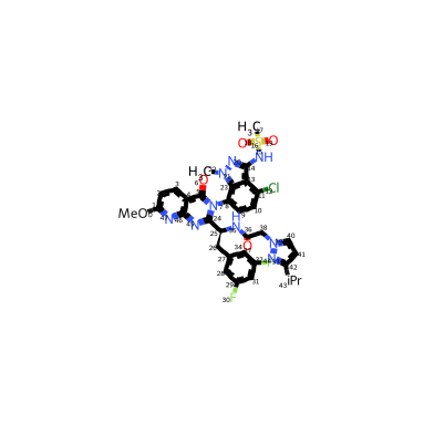 COc1ccc2c(=O)n(-c3ccc(Cl)c4c(NS(C)(=O)=O)nn(C)c34)c([C@H](Cc3cc(F)cc(F)c3)NC(=O)Cn3ccc(C(C)C)n3)nc2n1